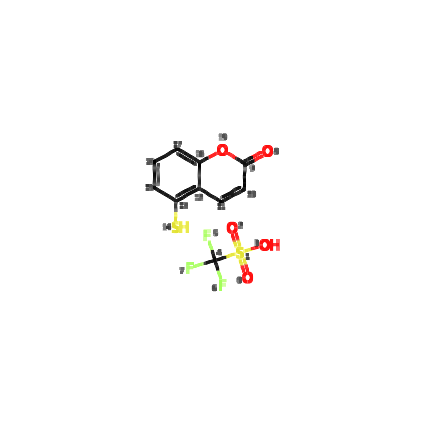 O=S(=O)(O)C(F)(F)F.O=c1ccc2c(S)cccc2o1